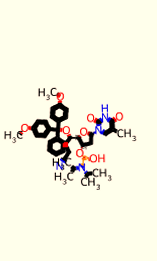 COc1ccc(C(OC(CCC#N)[C@H]2O[C@@H](n3cc(C)c(=O)[nH]c3=O)C[C@@H]2OP(O)N(C(C)C)C(C)C)(c2ccccc2)c2ccc(OC)cc2)cc1